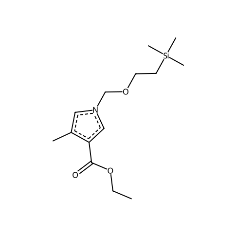 CCOC(=O)c1cn(COCC[Si](C)(C)C)cc1C